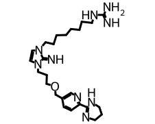 N=C(N)NCCCCCCCCn1ccn(CCCOCc2ccc(C3=NCCCN3)nc2)c1=N